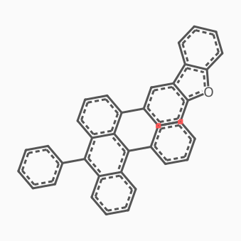 c1ccc(-c2c3ccccc3c(-c3ccccc3)c3c(-c4ccc5oc6ccccc6c5c4)cccc23)cc1